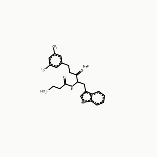 O=C(O)CCC(=O)NC(Cc1c[nH]c2ccccc12)C(=O)CCc1cc(C(F)(F)F)cc(C(F)(F)F)c1.[NaH]